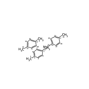 Cc1ccc(C)cc1.Cc1ccc(C)cc1.Cc1ccc(C)cc1